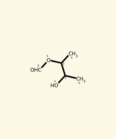 CC(O)C(C)OC=O